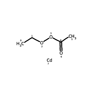 CCOOC(C)=O.[Cd]